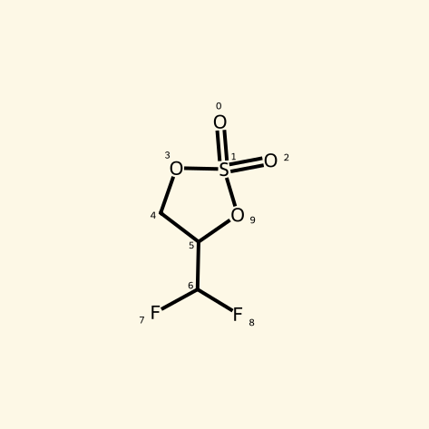 O=S1(=O)OCC(C(F)F)O1